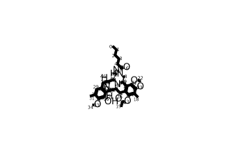 CCCCCC(=O)NC[C@H]1c2c(c(OC(C)=O)c(C)c3c2OCO3)CC2[C@H]3c4c(cc(C)c(OC)c4O)C[C@@H]([C@H](C#N)N21)N3C